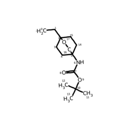 [CH2]CC12CCC(NC(=O)OC(C)(C)C)(CC1)CO2